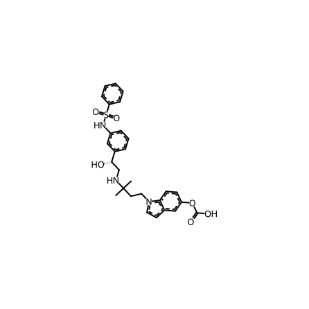 CC(C)(CCn1ccc2cc(OC(=O)O)ccc21)NC[C@H](O)c1cccc(NS(=O)(=O)c2ccccc2)c1